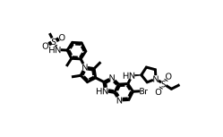 CCS(=O)(=O)N1CC[C@H](Nc2c(Br)cnc3[nH]c(-c4cc(C)n(-c5cccc(NS(C)(=O)=O)c5C)c4C)nc23)C1